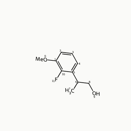 COc1cccc([C](C)CO)c1F